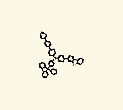 c1ccc(-c2ccc(-c3ccc(N(c4ccc(-c5ccc6c(c5)oc5ccccc56)cc4)c4ccc(C5(c6ccccc6)c6ccccc6-c6ccccc65)cc4)cc3)cc2)cc1